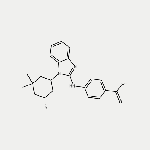 C[C@H]1CC(n2c(Nc3ccc(C(=O)O)cc3)nc3ccccc32)CC(C)(C)C1